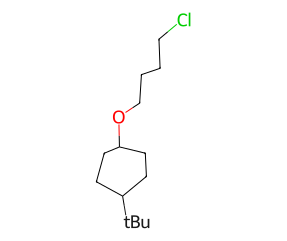 CC(C)(C)C1CCC(OCCCCCl)CC1